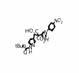 CC(C)(C)OC(=O)Nc1ccc(CC(C(=O)O)(C(=O)O)c2cn(-c3ccc([N+](=O)[O-])cc3)cn2)cn1